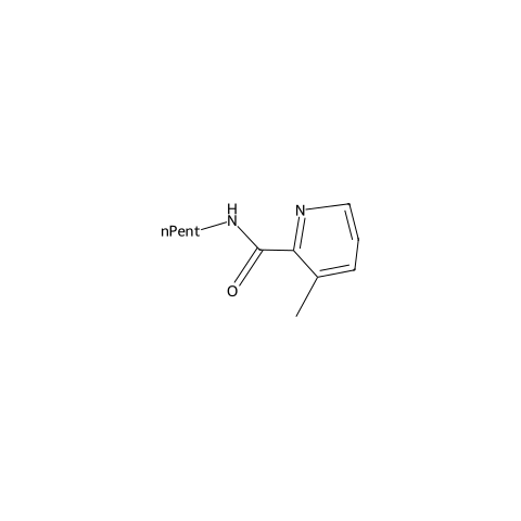 CCCCCNC(=O)c1ncccc1C